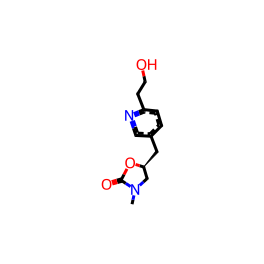 CN1C[C@H](Cc2ccc(CCO)nc2)OC1=O